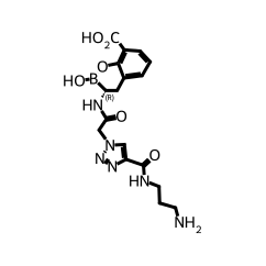 NCCCNC(=O)c1cn(CC(=O)N[C@H]2Cc3cccc(C(=O)O)c3OB2O)nn1